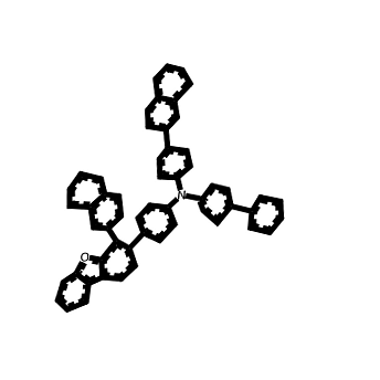 c1ccc(-c2ccc(N(c3ccc(-c4ccc5ccccc5c4)cc3)c3ccc(-c4ccc5c(oc6ccccc65)c4-c4ccc5ccccc5c4)cc3)cc2)cc1